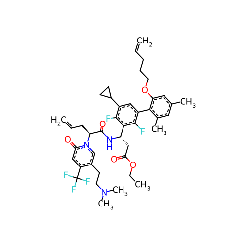 C=CCCCOc1cc(C)cc(C)c1-c1cc(C2CC2)c(F)c([C@H](CC(=O)OCC)NC(=O)[C@H](CC=C)n2cc(CCN(C)C)c(C(F)(F)F)cc2=O)c1F